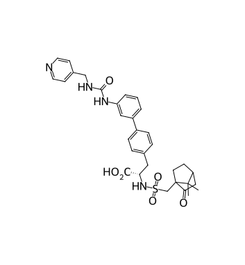 CC1(C)C2CCC1(CS(=O)(=O)N[C@@H](Cc1ccc(-c3cccc(NC(=O)NCc4ccncc4)c3)cc1)C(=O)O)C(=O)C2